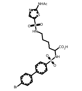 CC(=O)Nc1ncc(S(=O)(=O)NCCCCC(NS(=O)(=O)c2ccc(-c3ccc(Br)cc3)cc2)C(=O)O)s1